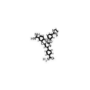 CN1CCN=C1c1cccc(Oc2nc(Oc3cc(C(=N)N)ccc3O)cc(-c3ccc(C(N)=O)cc3)n2)c1